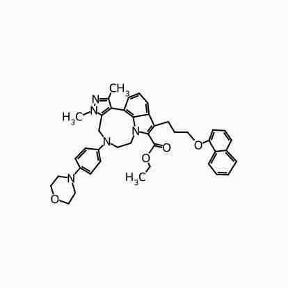 CCOC(=O)c1c(CCCOc2cccc3ccccc23)c2cccc3c2n1CCN(c1ccc(N2CCOCC2)cc1)Cc1c-3c(C)nn1C